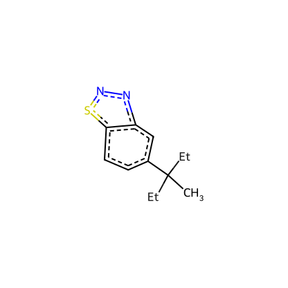 CCC(C)(CC)c1ccc2snnc2c1